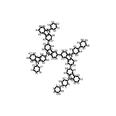 c1ccc(-c2ccc(-n3c4ccccc4c4cc(-c5ccc6c(c5)c5cc(-c7ccc8c(c7)c7cc(-c9ccc%10c(c9)c9ccccc9n%10-c9ccccc9)ccc7n8-c7ccc8c(c7)c7ccccc7n8-c7ccccc7)ccc5n6-c5ccc(-c6ccccc6)cc5)ccc43)cc2)cc1